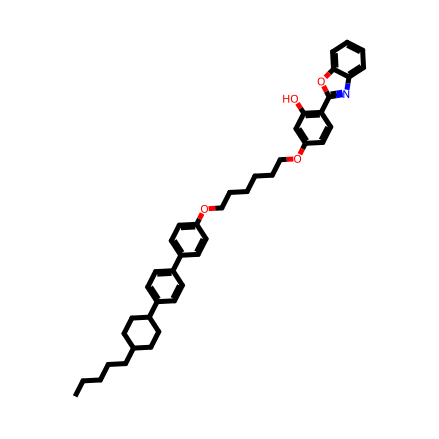 CCCCCC1CCC(c2ccc(-c3ccc(OCCCCCCOc4ccc(-c5nc6ccccc6o5)c(O)c4)cc3)cc2)CC1